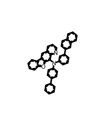 c1ccc(-c2ccc(N(c3cccc(-c4ccc5ccccc5c4)c3)c3c4ncccc4cc4c3oc3ccccc34)cc2)cc1